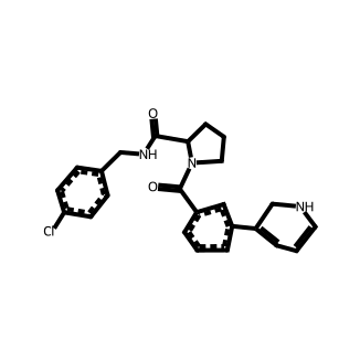 O=C(NCc1ccc(Cl)cc1)C1CCCN1C(=O)c1cccc(C2=CC=CNC2)c1